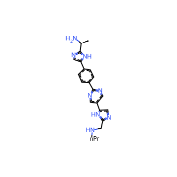 CCCNCc1ncc(-c2cnc(-c3ccc(-c4cnc([C@H](C)N)[nH]4)cc3)nc2)[nH]1